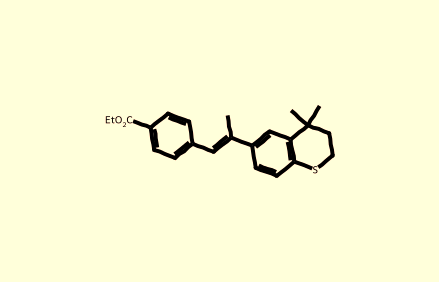 CCOC(=O)c1ccc(/C=C(\C)c2ccc3c(c2)C(C)(C)CCS3)cc1